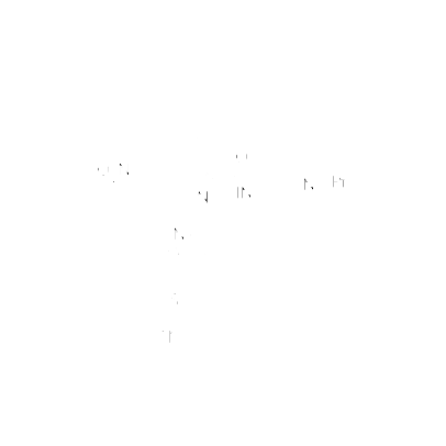 CC(C)N1CCC(NC(=O)c2c(-c3ccccc3)c3cc([N+](=O)[O-])ccc3n2Cc2cc(-c3ccc(Cl)s3)on2)CC1